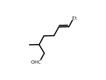 CCC=CCCC(C)C[C]=O